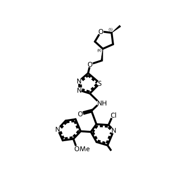 COc1cnccc1-c1cc(C)nc(Cl)c1C(=O)Nc1nnc(OC[C@H]2CO[C@@H](C)C2)s1